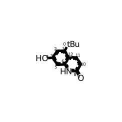 CC(C)(C)c1cc(O)cc2[nH]c(=O)ccc12